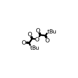 CC(C)(C)C(=O)C(=O)OC(=O)C(=O)C(C)(C)C